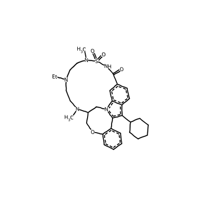 CCN1CCN(C)C2COc3ccccc3-c3c(C4CCCCC4)c4ccc(cc4n3C2)C(=O)NS(=O)(=O)N(C)CC1